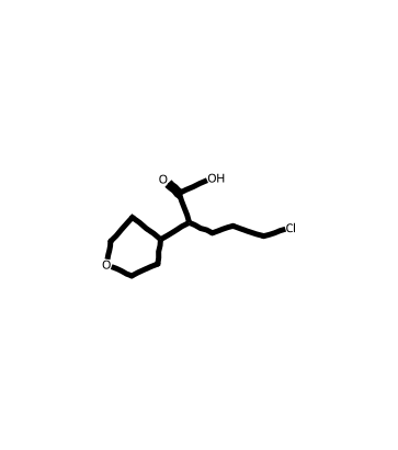 O=C(O)C(CCCCl)C1CCOCC1